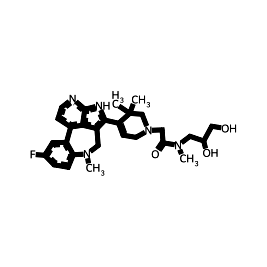 CN(CC(O)CO)C(=O)CN1CC=C(c2[nH]c3nccc4c3c2CN(C)c2ccc(F)cc2-4)C(C)(C)C1